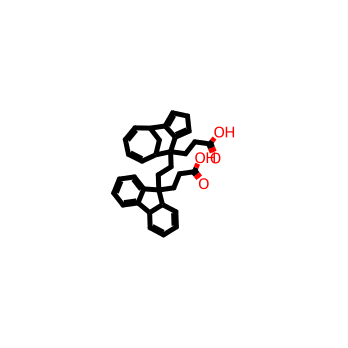 O=C(O)CCC1(CCC2(CCC(=O)O)c3ccccc3C3C=CC=CC32)C2=CCC=C2C2C=CC=CC1C2